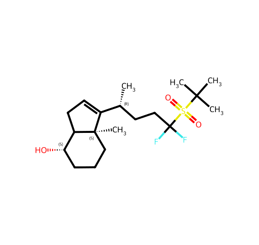 C[C@H](CCC(F)(F)S(=O)(=O)C(C)(C)C)C1=CCC2[C@@H](O)CCC[C@]12C